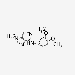 COc1ccc(Nc2nccc3c2ncn3C)cc1OC